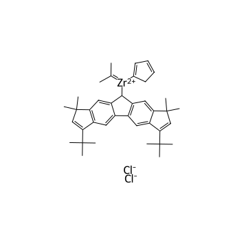 C[C](C)=[Zr+2]([C]1=CC=CC1)[CH]1c2cc3c(cc2-c2cc4c(cc21)C(C)(C)C=C4C(C)(C)C)C(C(C)(C)C)=CC3(C)C.[Cl-].[Cl-]